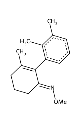 CON=C1CCCC(C)=C1c1cccc(C)c1C